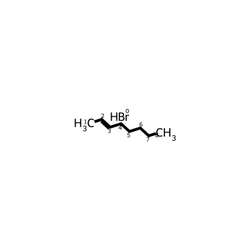 Br.CC=CCCCCC